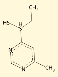 CC[SH](S)c1cc(C)ncn1